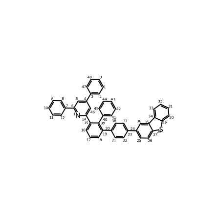 c1ccc(-c2cc(-c3ccccc3)nc(-c3cccc(-c4ccc(-c5ccc6sc7ccccc7c6c5)cc4)c3-c3ccccc3)c2)cc1